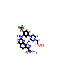 Cn1nc(C(N)=O)c2c1-c1nc(Nc3cc(N4CCN(CCO)CC4)ccc3OC(F)(F)F)ncc1CC2